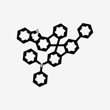 c1ccc(-c2ccc3c(c2)C2(c4cc(N(c5ccccc5)c5ccccc5)ccc4-3)c3ccccc3-c3c2ccc2c3sc3ccccc32)cc1